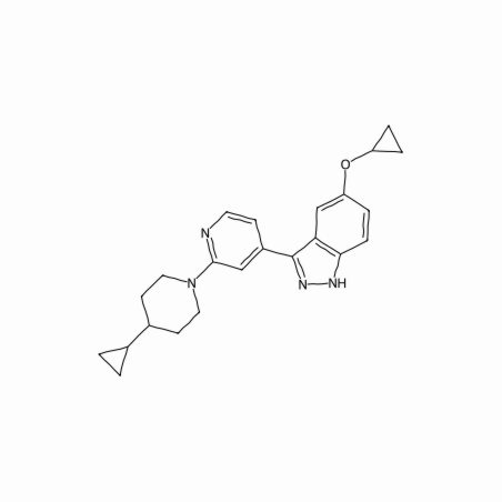 c1cc(-c2n[nH]c3ccc(OC4CC4)cc23)cc(N2CCC(C3CC3)CC2)n1